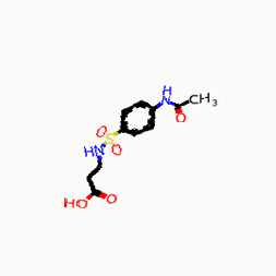 CC(=O)Nc1ccc(S(=O)(=O)NCCC(=O)O)cc1